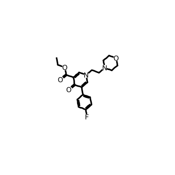 CCOC(=O)c1cn(CCN2CCOCC2)cc(-c2ccc(F)cc2)c1=O